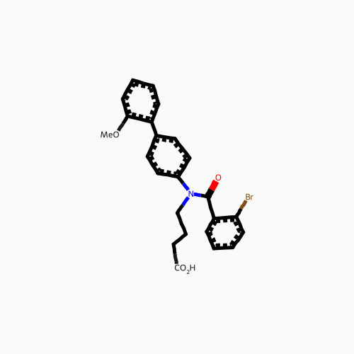 COc1ccccc1-c1ccc(N(CCCC(=O)O)C(=O)c2ccccc2Br)cc1